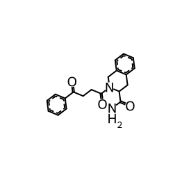 NC(=O)C1Cc2ccccc2CN1C(=O)CCC(=O)c1ccccc1